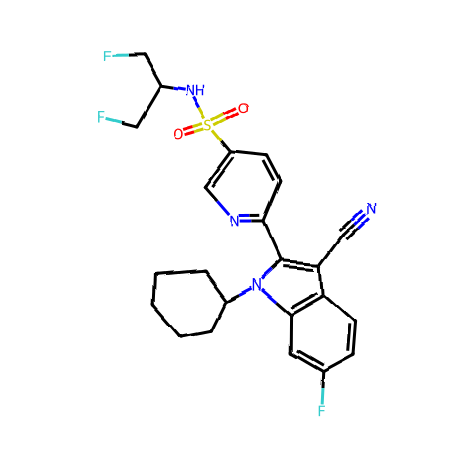 N#Cc1c(-c2ccc(S(=O)(=O)NC(CF)CF)cn2)n(C2CCCCC2)c2cc(F)ccc12